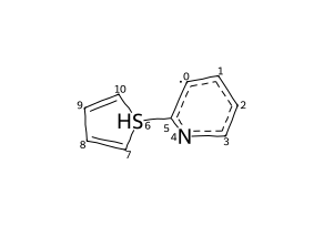 [c]1cccnc1[SH]1C=CC=C1